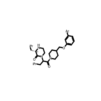 CC(=O)c1cccc(OCC2CCN(C(=O)C(CC(C)C)N3CCN[C@@H](CC(C)C)C3=O)CC2)c1